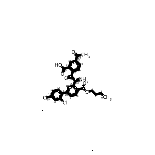 CCCCOC(=O)c1ccc(-c2ccc(Cl)cc2Cl)cc1C(=N)C(=O)c1ccc(C(C)=O)cc1C(=O)O